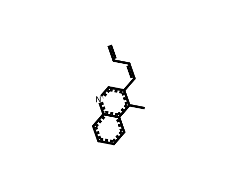 C=C/C=C\c1cnc2ccccc2c1C